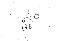 CCC[C@H]1COC[C@H](N)C(=O)O[C@@H](C)[C@@H]1Cc1ccccc1